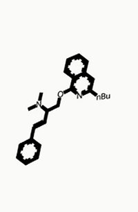 CCCCc1cc2ccccc2c(OCC(C=Cc2ccccc2)N(C)C)n1